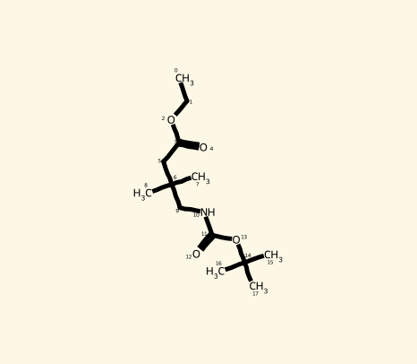 CCOC(=O)CC(C)(C)CNC(=O)OC(C)(C)C